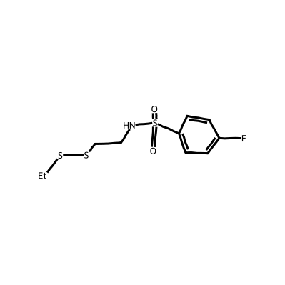 [CH2]CSSCCNS(=O)(=O)c1ccc(F)cc1